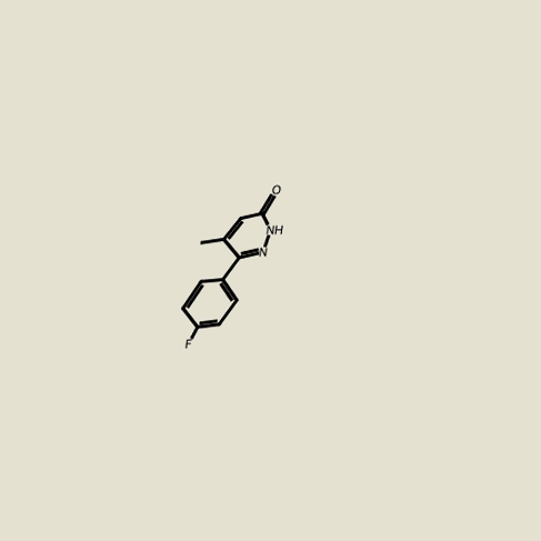 Cc1cc(=O)[nH]nc1-c1ccc(F)cc1